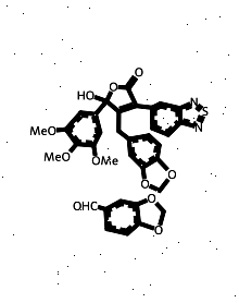 COc1cc(C2(O)OC(=O)C(c3ccc4nsnc4c3)=C2Cc2ccc3c(c2)OCO3)cc(OC)c1OC.O=Cc1ccc2c(c1)OCO2